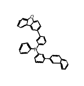 c1ccc(N(c2cccc(-c3ccc4ccccc4c3)c2)c2cccc(-c3ccc4oc5ccccc5c4c3)c2)cc1